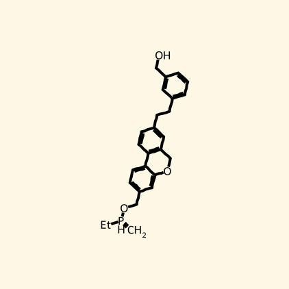 C=[PH](CC)OCc1ccc2c(c1)OCc1cc(CCc3cccc(CO)c3)ccc1-2